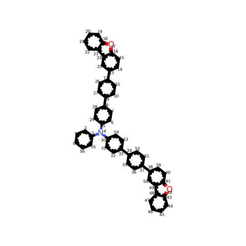 c1ccc(N(c2ccc(-c3ccc(-c4ccc5oc6ccccc6c5c4)cc3)cc2)c2ccc(-c3ccc(-c4ccc5oc6ccccc6c5c4)cc3)cc2)cc1